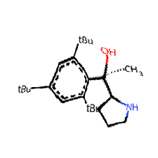 CC(C)(C)c1cc(C(C)(C)C)c([C@@](C)(O)[C@@H]2CCCN2)c(C(C)(C)C)c1